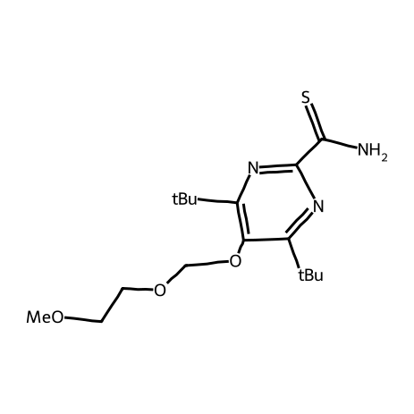 COCCOCOc1c(C(C)(C)C)nc(C(N)=S)nc1C(C)(C)C